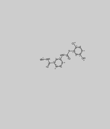 CC(C)(C)NC(=O)c1cc(NC(=O)Cc2cc(O)ccc2Cl)ccn1